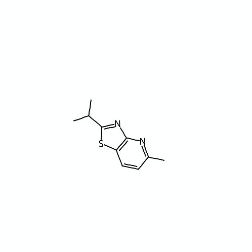 Cc1ccc2sc(C(C)C)nc2n1